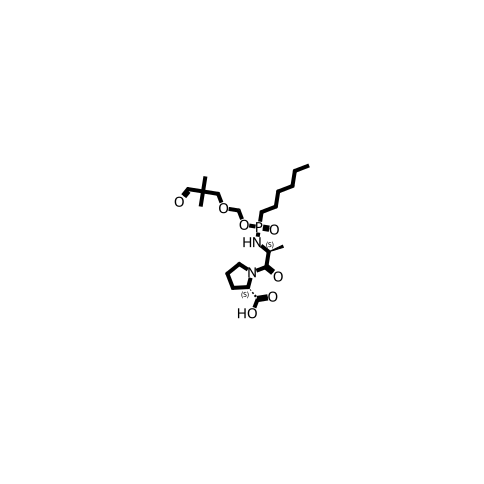 CCCCCCP(=O)(N[C@@H](C)C(=O)N1CCC[C@H]1C(=O)O)OCOCC(C)(C)C=O